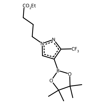 CCOC(=O)CCCn1cc(B2OC(C)(C)C(C)(C)O2)c(C(F)(F)F)n1